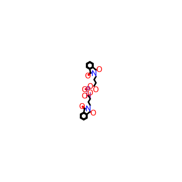 O=C(CCCN1C(=O)c2ccccc2C1=O)O[PH](=O)OC(=O)CCCN1C(=O)c2ccccc2C1=O